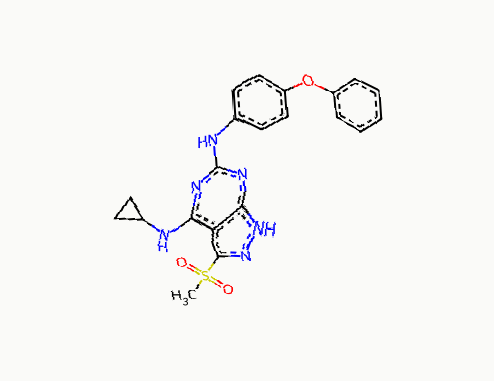 CS(=O)(=O)c1n[nH]c2nc(Nc3ccc(Oc4ccccc4)cc3)nc(NC3CC3)c12